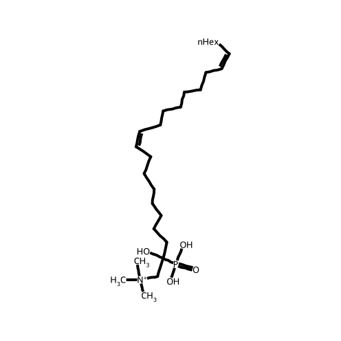 CCCCCC/C=C\CCCCCC/C=C\CCCCCCCC(O)(C[N+](C)(C)C)P(=O)(O)O